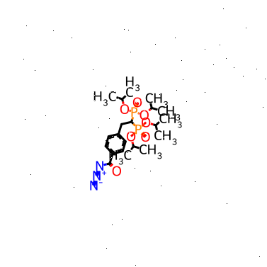 CC(C)OP(=O)(OC(C)C)C(Cc1ccc(C(=O)N=[N+]=[N-])cc1)P(=O)(OC(C)C)OC(C)C